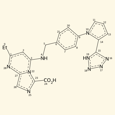 CCc1cc(NCc2ccc(-n3cccc3-c3nnn[nH]3)cc2)n2c(C(=O)O)ncc2n1